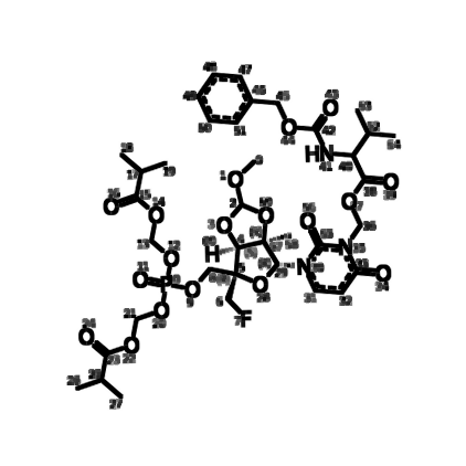 COC1O[C@@H]2[C@@](CF)(COP(=O)(OCOC(=O)C(C)C)OCOC(=O)C(C)C)O[C@@H](n3ccc(=O)n(COC(=O)C(NC(=O)OCc4ccccc4)C(C)C)c3=O)[C@]2(C)O1